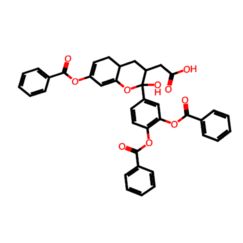 O=C(O)CC1CC2CC=C(OC(=O)c3ccccc3)C=C2OC1(O)c1ccc(OC(=O)c2ccccc2)c(OC(=O)c2ccccc2)c1